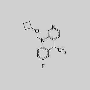 Fc1ccc2c(c1)C(C(F)(F)F)c1ccncc1N2COC1CCC1